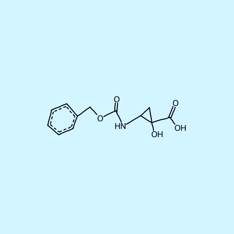 O=C(NC1CC1(O)C(=O)O)OCc1ccccc1